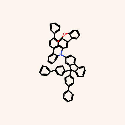 c1ccc(-c2ccc(-c3ccccc3N(c3ccc4c(c3)C(c3ccc(-c5ccccc5)cc3)(c3ccc(-c5ccccc5)cc3)c3ccccc3-4)c3ccc4oc5ccccc5c4c3)cc2)cc1